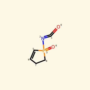 O=C=NP1(=O)C=CCC1